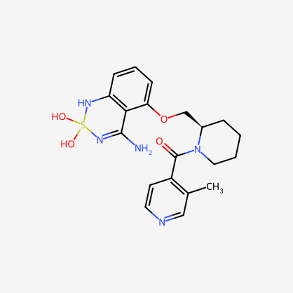 Cc1cnccc1C(=O)N1CCCC[C@@H]1COc1cccc2c1C(N)=NS(O)(O)N2